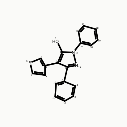 Oc1c(-c2ccsc2)c(-c2ccccc2)nn1-c1ccccc1